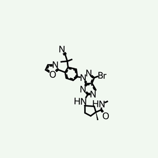 CNC(=O)[C@]1(C)CC[C@@H](Nc2ncc3c(Br)nn(-c4ccc(-c5ncco5)c(C(C)(C)C#N)c4)c3n2)C1